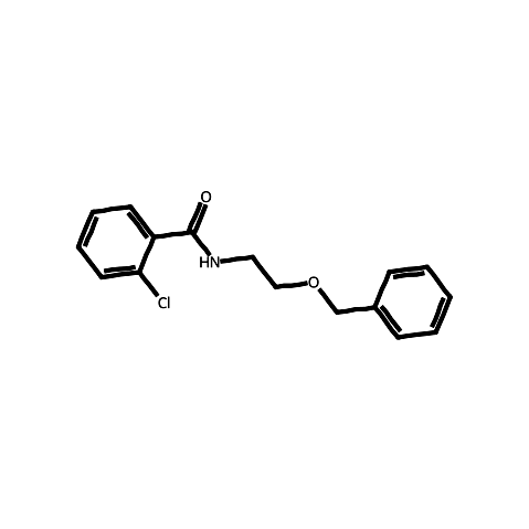 O=C(NCCOCc1ccccc1)c1ccccc1Cl